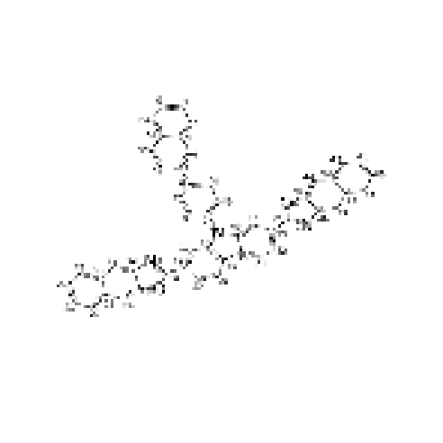 c1ccc2cc(-c3ccc(-n4c5cc(-c6nc7cc8ccccc8cc7o6)ccc5c5ccc(-c6nc7cc8ccccc8cc7o6)cc54)cc3)ccc2c1